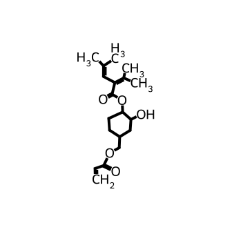 C=CC(=O)OCC1CCC(OC(=O)C(C=C(C)C)=C(C)C)C(O)C1